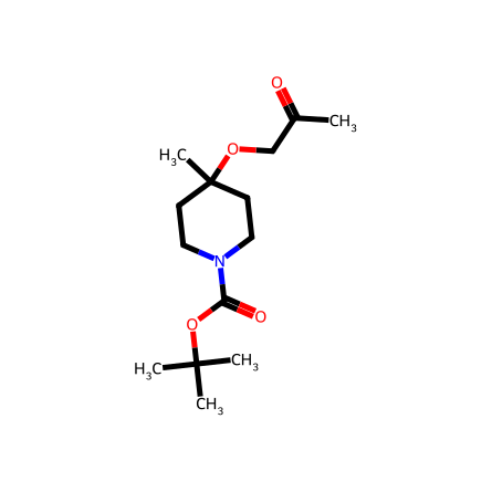 CC(=O)COC1(C)CCN(C(=O)OC(C)(C)C)CC1